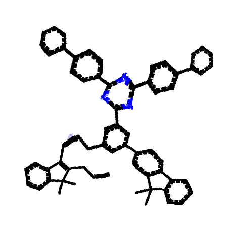 C=CCC1=C(/C=C\Cc2cc(-c3ccc4c(c3)C(C)(C)c3ccccc3-4)cc(-c3nc(-c4ccc(-c5ccccc5)cc4)nc(-c4ccc(-c5ccccc5)cc4)n3)c2)c2ccccc2C1(C)C